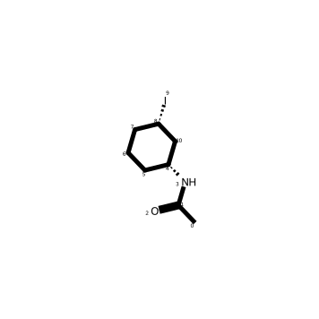 CC(=O)N[C@@H]1CCC[C@H](I)C1